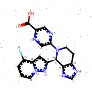 O=C(O)c1cnc(N2CCc3[nH]cnc3[C@H]2c2cc3c(F)cccn3n2)cn1